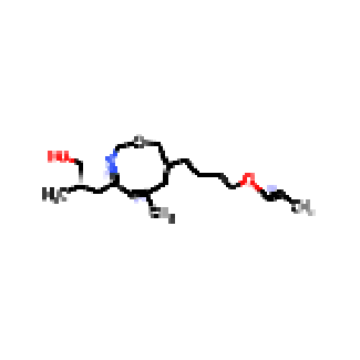 C/C=C/OCCCCC1CCC/N=C(CC(C)CO)\C=C(\C)C1